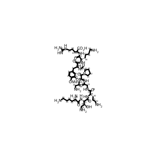 COc1ccc(CC(NC(=O)[C@@H]2CCCN2C(=O)[C@@H](CCCN)NC(=O)CNC(=O)[C@H](CCCN)NC(=O)[C@@H](NC(=O)[C@@H](N)CCCCN)[C@@H](O)CN)C(=O)N[C@@H](CCCCN)C(=O)NC(CCCNC(=N)N)C(=O)O)cc1OC